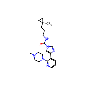 CN1CCN(c2ncccc2-c2cn(C(=O)NCCCC3(C(F)(F)F)CC3)cn2)CC1